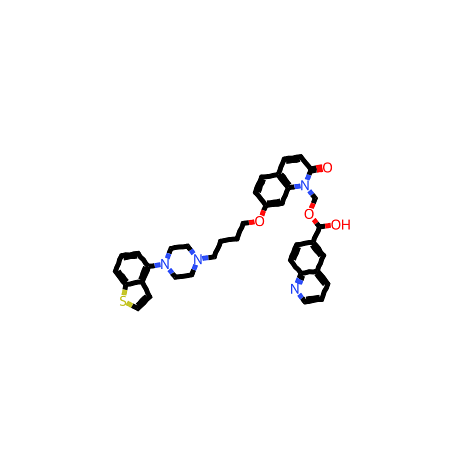 O=c1ccc2ccc(OCCCCN3CCN(c4cccc5sccc45)CC3)cc2n1COC(O)c1ccc2ncccc2c1